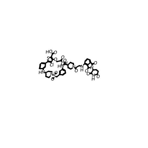 O=C(O)COc1c(C(=O)O)sc(-c2cccc(NC3CCN(S(=O)(=O)Cc4cccc(NC(=O)C5CCN(C(=O)CNc6cccc7c6C(=O)N(C6CCC(=O)NC6=O)C7=O)CC5)c4)CC3)c2)c1Cl